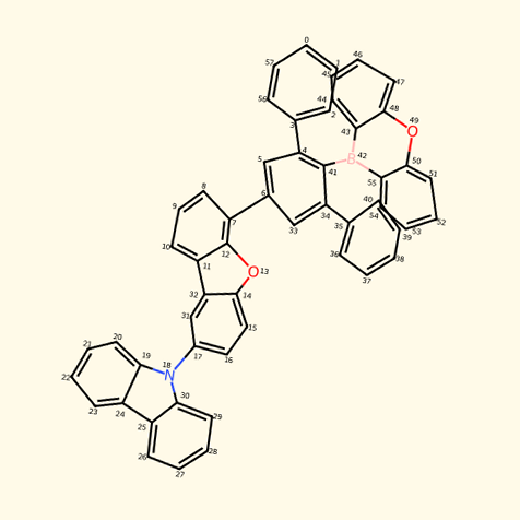 c1ccc(-c2cc(-c3cccc4c3oc3ccc(-n5c6ccccc6c6ccccc65)cc34)cc(-c3ccccc3)c2B2c3ccccc3Oc3ccccc32)cc1